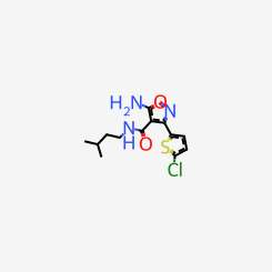 CC(C)CCNC(=O)c1c(-c2ccc(Cl)s2)noc1N